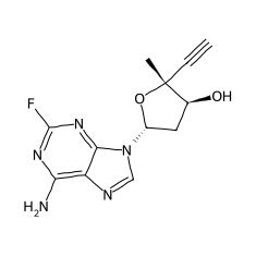 C#C[C@@]1(C)O[C@@H](n2cnc3c(N)nc(F)nc32)C[C@@H]1O